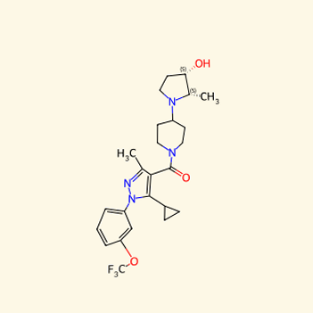 Cc1nn(-c2cccc(OC(F)(F)F)c2)c(C2CC2)c1C(=O)N1CCC(N2CC[C@H](O)[C@@H]2C)CC1